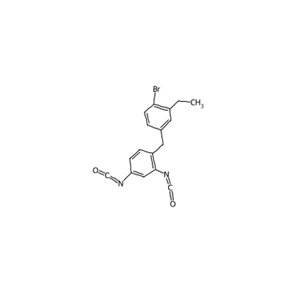 CCc1cc(Cc2ccc(N=C=O)cc2N=C=O)ccc1Br